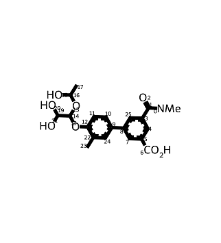 CNC(=O)c1cc(C(=O)O)cc(-c2ccc(OC(OC(C)O)C(O)O)c(C)c2)c1